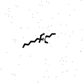 CCCCCCC(C)(CC)N(CC)CCCC